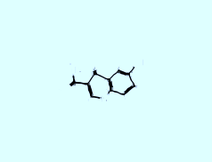 Cc1ccc2[nH]cc(C(=O)C(C)(C)C)c(=O)c2c1